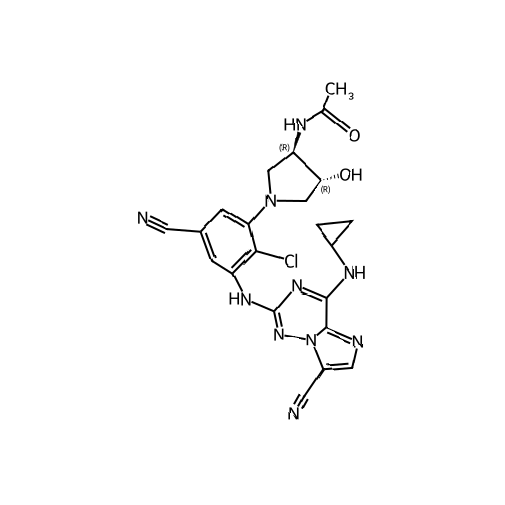 CC(=O)N[C@@H]1CN(c2cc(C#N)cc(Nc3nc(NC4CC4)c4ncc(C#N)n4n3)c2Cl)C[C@H]1O